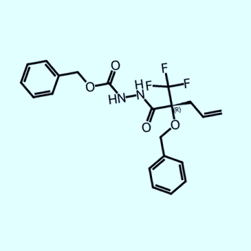 C=CC[C@@](OCc1ccccc1)(C(=O)NNC(=O)OCc1ccccc1)C(F)(F)F